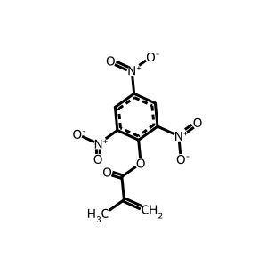 C=C(C)C(=O)Oc1c([N+](=O)[O-])cc([N+](=O)[O-])cc1[N+](=O)[O-]